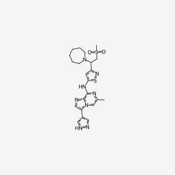 Cc1cn2c(-c3cn[nH]c3)cnc2c(Nc2cc(C(CS(C)(=O)=O)N3CCCCCC3)ns2)n1